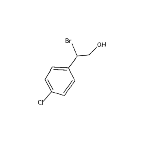 OCC(Br)c1ccc(Cl)cc1